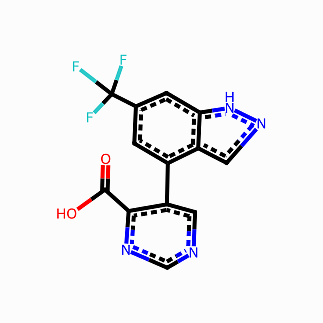 O=C(O)c1ncncc1-c1cc(C(F)(F)F)cc2[nH]ncc12